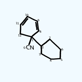 N#CC1(C2CCCCC2)C=CC=CC1